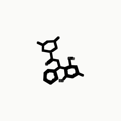 COc1cc(C)cc(O)c1C(CC(=O)N1CC(C)CC(C)C1)c1ccccc1